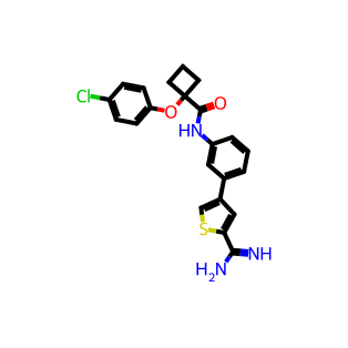 N=C(N)c1cc(-c2cccc(NC(=O)C3(Oc4ccc(Cl)cc4)CCC3)c2)cs1